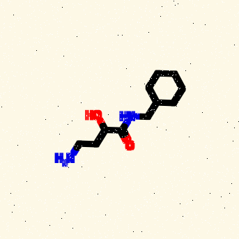 NCCC(O)C(=O)NCC1CCCCC1